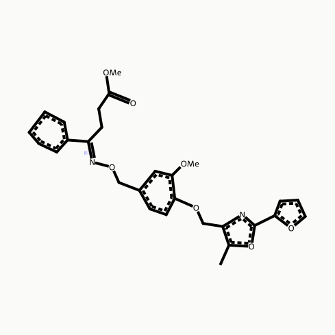 COC(=O)CC/C(=N\OCc1ccc(OCc2nc(-c3ccco3)oc2C)c(OC)c1)c1ccccc1